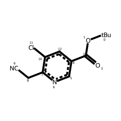 CC(C)(C)OC(=O)c1cnc(CC#N)c(Cl)c1